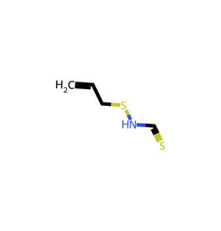 C=CCSNC=S